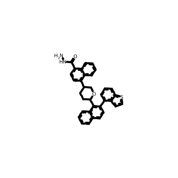 NNC(=O)c1ccc(C2CCC(c3c(-c4cccc5sccc45)ccc4ccccc34)OC2)c2ccccc12